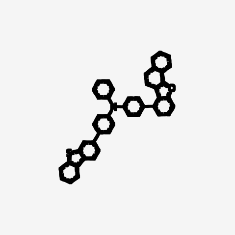 c1ccc(N(c2ccc(-c3ccc4c(c3)sc3ccccc34)cc2)c2ccc(-c3cccc4oc5c6ccccc6ccc5c34)cc2)cc1